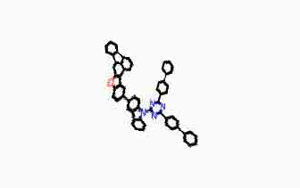 c1ccc(-c2ccc(-c3nc(-c4ccc(-c5ccccc5)cc4)nc(-n4c5ccccc5c5cc(-c6ccc7oc8cc9c%10c(cccc%10c8c7c6)-c6ccccc6-9)ccc54)n3)cc2)cc1